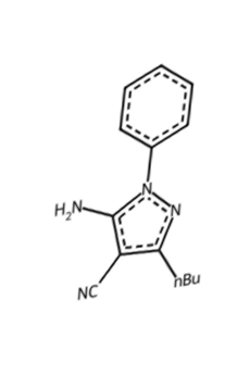 CCCCc1nn(-c2ccccc2)c(N)c1C#N